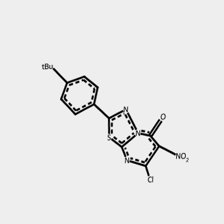 CC(C)(C)c1ccc(-c2nn3c(=O)c([N+](=O)[O-])c(Cl)nc3s2)cc1